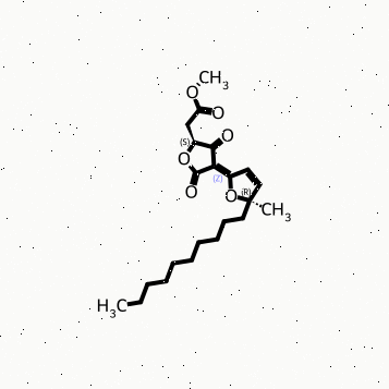 CCCCCCCCCC[C@]1(C)C=C/C(=C2/C(=O)O[C@@H](CC(=O)OC)C2=O)O1